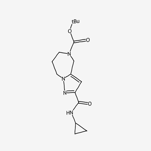 CC(C)(C)OC(=O)N1CCCn2nc(C(=O)NC3CC3)cc2C1